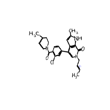 C/C=C/Cn1cc(-c2ccc(C(=O)N3CCC(C)CC3)c(Cl)c2)c2cc(C)[nH]c2c1=O